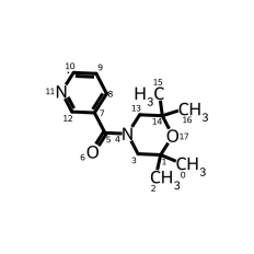 CC1(C)CN(C(=O)c2cc[c]nc2)CC(C)(C)O1